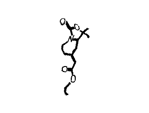 CCOC(=O)C=C1CCN2C(=O)OC(C)(C)C2C1